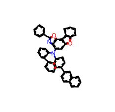 c1ccc(-c2nc3c(N(c4ccc(-c5ccc6ccccc6c5)cc4)c4ccccc4-c4ccccc4)cc4oc5ccccc5c4c3o2)cc1